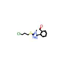 Cn1c(SCCCCl)nnc1-c1ccccc1C=O